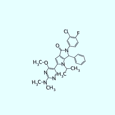 COc1nc(N(C)C)ncc1-c1cc2c(n1C(C)C)C(c1ccccc1)N(c1ccc(F)c(Cl)c1)C2=O